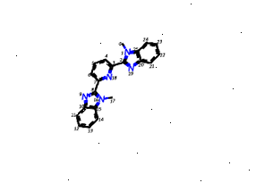 Cn1c(-c2cccc(-c3nc4ccccc4n3C)n2)nc2ccccc21